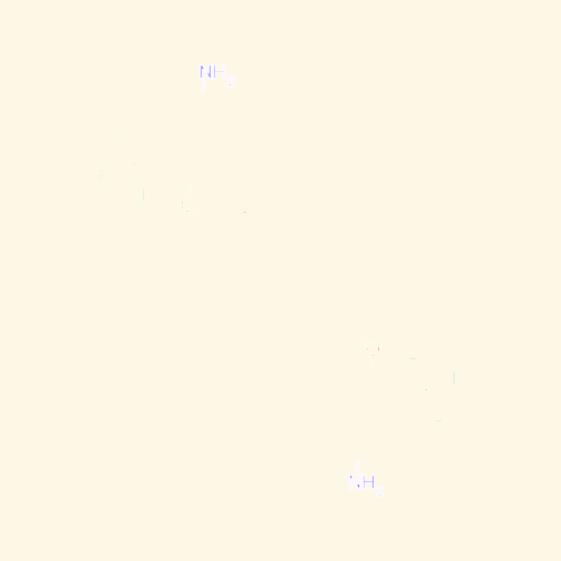 CC1=C(Oc2ccc(N)cc2C(F)(F)F)C(C)(C)C=C(c2ccc(Oc3ccc(N)cc3C(F)(F)F)c(C)c2)C1